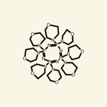 C1CN(P2(N3CCOCC3)=NP(N3CCOCC3)(N3CCOCC3)=NP(N3CCOCC3)(N3CCOCC3)=NP(N3CCOCC3)(N3CCOCC3)=N2)CCO1